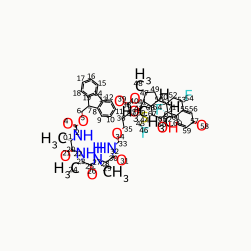 C[C@H](NC(=O)OCC1c2ccccc2-c2ccccc21)C(=O)N[C@@H](C)C(=O)N[C@@H](C)C(=O)NCOCCCC(=O)O[C@]1(C(=O)SCF)[C@H](C)C[C@H]2[C@@H]3C[C@H](F)C4=CC(=O)C=C[C@]4(C)[C@@]3(F)[C@@H](O)C[C@@]21C